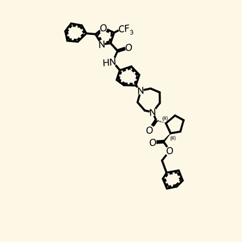 O=C(Nc1ccc(N2CCCN(C(=O)[C@@H]3CCC[C@H]3C(=O)OCc3ccccc3)CC2)cc1)c1nc(-c2ccccc2)oc1C(F)(F)F